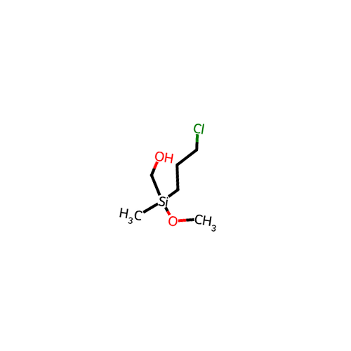 CO[Si](C)(CO)CCCCl